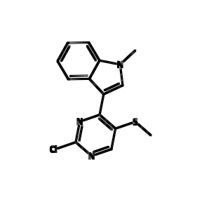 CSc1cnc(Cl)nc1-c1cn(C)c2ccccc12